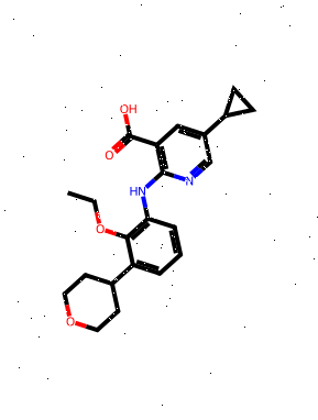 CCOc1c(Nc2ncc(C3CC3)cc2C(=O)O)cccc1C1CCOCC1